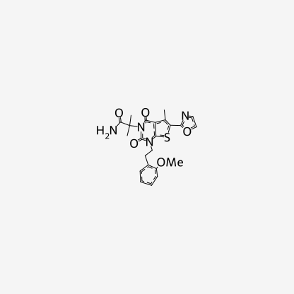 COc1ccccc1CCn1c(=O)n(C(C)(C)C(N)=O)c(=O)c2c(C)c(-c3ncco3)sc21